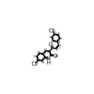 O=C(/C=C\c1ccc(Cl)cc1)c1cc2ccc(Cl)cc2[nH]c1=O